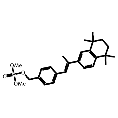 COP(=O)(OC)OCc1ccc(C=C(C)c2ccc3c(c2)C(C)(C)CCC3(C)C)cc1